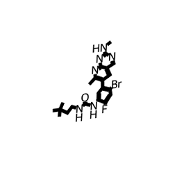 CNc1ncc2cc(-c3cc(NC(=O)NCCC(C)(C)C)c(F)cc3Br)c(C)nc2n1